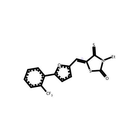 CCN1C(=O)S/C(=C\c2ccc(-c3ccccc3C(F)(F)F)o2)C1=S